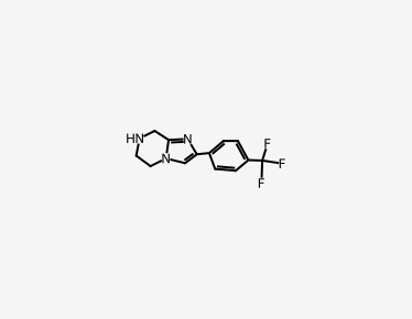 FC(F)(F)c1ccc(-c2cn3c(n2)CNCC3)cc1